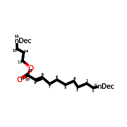 CCCCCCCCCCCCCCCCCC=CC(=O)OCCCCCCCCCCCCC